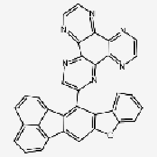 c1cc2c3c(cccc3c1)-c1c-2cc2oc3ccccc3c2c1-c1cnc2c3nccnc3c3nccnc3c2n1